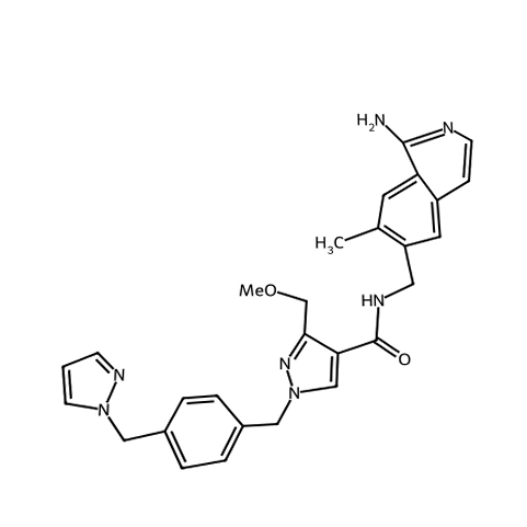 COCc1nn(Cc2ccc(Cn3cccn3)cc2)cc1C(=O)NCc1cc2ccnc(N)c2cc1C